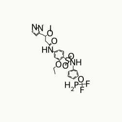 CCOc1cc(NC(=O)CC(OI)c2ccnn2C)ccc1S(=O)(=O)Nc1cccc(OC(F)(F)P)c1